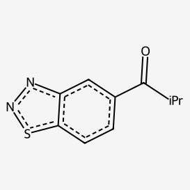 CC(C)C(=O)c1ccc2snnc2c1